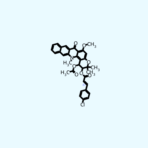 COc1cc2c(c3c1c(=O)c1cc4ccccc4cc1n3C)C(OC(C)=O)C(OC(=O)/C=C/c1ccc(Cl)cc1)C(C)(C)O2